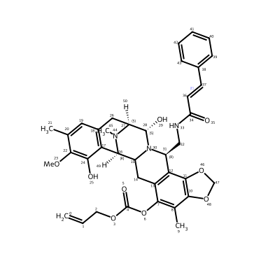 C=CCOC(=O)Oc1c(C)c2c(c3c1CC1[C@H]4c5c(cc(C)c(OC)c5O)C[C@@H]([C@H](O)N1[C@H]3CNC(=O)/C=C/c1ccccc1)N4C)OCO2